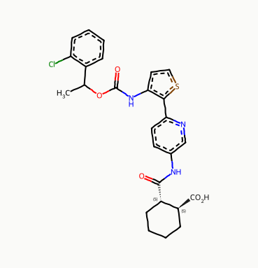 CC(OC(=O)Nc1ccsc1-c1ccc(NC(=O)[C@H]2CCCC[C@@H]2C(=O)O)cn1)c1ccccc1Cl